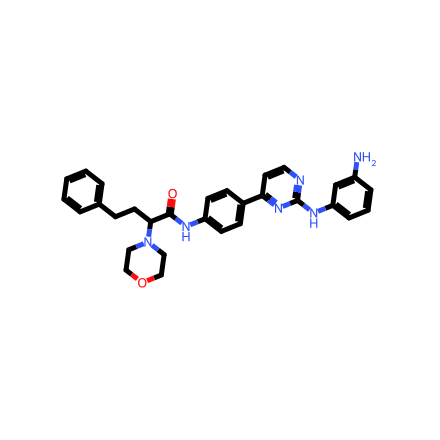 Nc1cccc(Nc2nccc(-c3ccc(NC(=O)C(CCc4ccccc4)N4CCOCC4)cc3)n2)c1